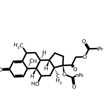 CCCC(=O)O[C@]1(C(=O)COC(=O)C(C)C)CC[C@H]2[C@@H]3CC(C)C4=CC(=O)C=C[C@]4(C)[C@H]3C(O)C[C@@]21C